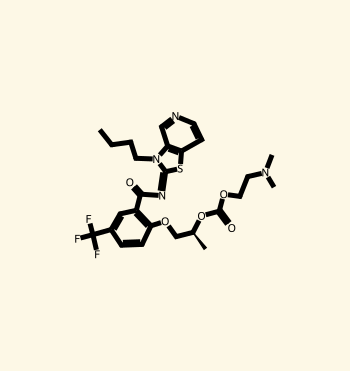 CCCCn1c(=NC(=O)c2cc(C(F)(F)F)ccc2OC[C@H](C)OC(=O)OCCN(C)C)sc2ccncc21